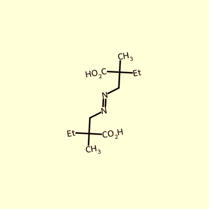 CCC(C)(CN=NCC(C)(CC)C(=O)O)C(=O)O